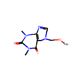 CCCOCn1cnc2c1c(=O)n(C)c(=O)n2C